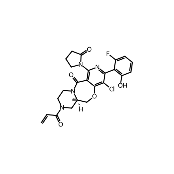 C=CC(=O)N1CCN2C(=O)c3c(N4CCCC4=O)nc(-c4c(O)cccc4F)c(Cl)c3OC[C@H]2C1